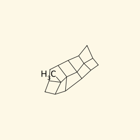 CC12C3CC1C1C4C5CC6CC7C8C(C3)C12C84C675